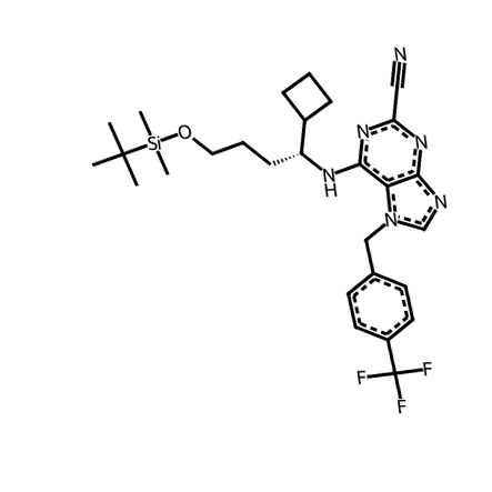 CC(C)(C)[Si](C)(C)OCCC[C@@H](Nc1nc(C#N)nc2ncn(Cc3ccc(C(F)(F)F)cc3)c12)C1CCC1